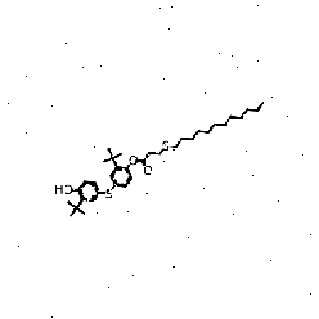 CCCCCCCCCCCCSCCC(=O)Oc1ccc(Sc2ccc(O)c(C(C)(C)C)c2)cc1C(C)(C)C